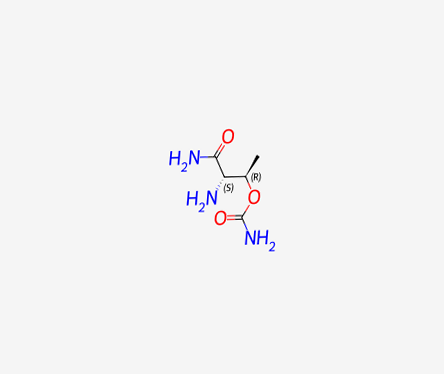 C[C@@H](OC(N)=O)[C@H](N)C(N)=O